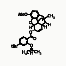 COc1ccc2c3c1O[C@H]1[C@@H](OC(=O)c4ccc(C(C)(C)C)cc4O[SiH](C)C)C=C[C@H]4[C@@H](C2)N(C)CC[C@@]341